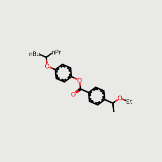 CCCCC(CCC)Oc1ccc(OC(=O)c2ccc(C(C)OCC)cc2)cc1